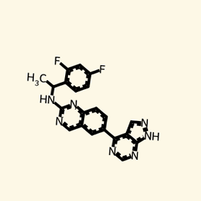 CC(Nc1ncc2cc(-c3ncnc4[nH]ncc34)ccc2n1)c1ccc(F)cc1F